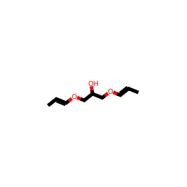 CC=COCC(O)COC=CC